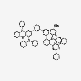 CC(C)(C)c1ccc2c(c1)c1ccccc1n2-c1c(-c2cccc(-c3cccc(-c4cc5c6c(c4)N(c4ccccc4)c4ccccc4B6c4ccccc4N5c4ccccc4)c3)c2)cccc1-c1nc(-c2ccccc2)nc(-c2ccccc2)n1